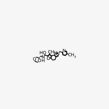 Cc1ccc(Cn2cc3c(n2)-c2c(oc(C(O)NC[C@@H]4COCCO4)c2C)CC3)nc1